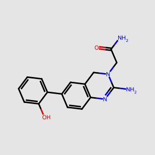 NC(=O)CN1Cc2cc(-c3ccccc3O)ccc2N=C1N